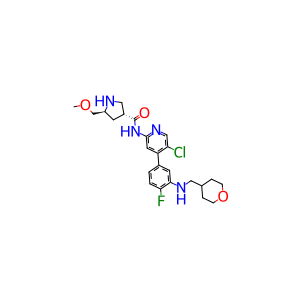 COC[C@@H]1C[C@@H](C(=O)Nc2cc(-c3ccc(F)c(NCC4CCOCC4)c3)c(Cl)cn2)CN1